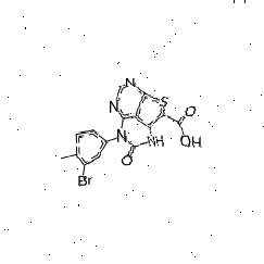 Cc1ccc(N2C(=O)Nc3c(C(=O)O)sc4ncnc2c34)cc1Br